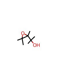 CC(C)(O)C1(C)OC1(C)C